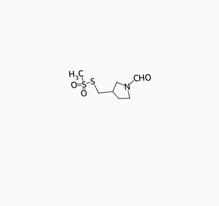 CS(=O)(=O)SCC1CCN(C=O)C1